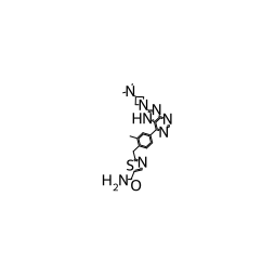 Cc1cc(-c2ncnc3nc(N4CC(N(C)C)C4)[nH]c23)ccc1Cc1ncc(C(N)=O)s1